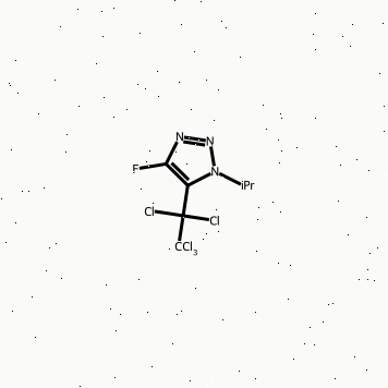 CC(C)n1nnc(F)c1C(Cl)(Cl)C(Cl)(Cl)Cl